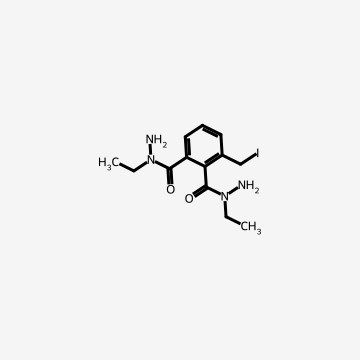 CCN(N)C(=O)c1cccc(CI)c1C(=O)N(N)CC